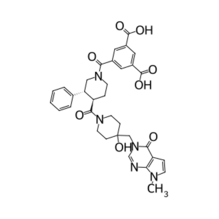 Cn1ccc2c(=O)n(CC3(O)CCN(C(=O)[C@@H]4CCN(C(=O)c5cc(C(=O)O)cc(C(=O)O)c5)C[C@H]4c4ccccc4)CC3)cnc21